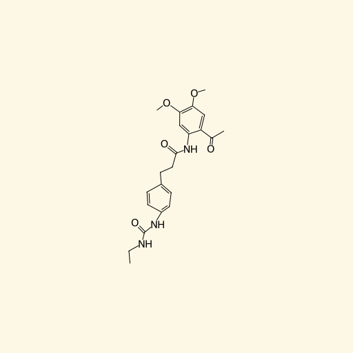 CCNC(=O)Nc1ccc(CCC(=O)Nc2cc(OC)c(OC)cc2C(C)=O)cc1